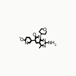 COc1ccc(-c2cc3c(C)nc(N)nc3n(C3CCOCC3)c2=O)cn1